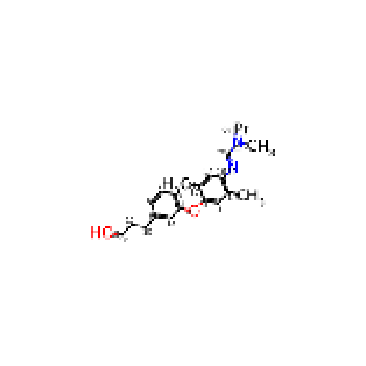 Cc1cc(Oc2cccc(CCCO)c2)c(C)cc1N=CN(C)C(C)C